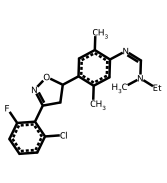 CCN(C)/C=N\c1cc(C)c(C2CC(c3c(F)cccc3Cl)=NO2)cc1C